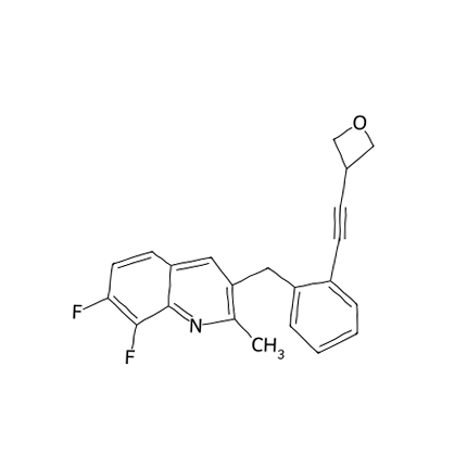 Cc1nc2c(F)c(F)ccc2cc1Cc1ccccc1C#CC1COC1